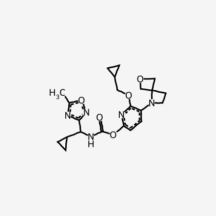 Cc1nc(C(NC(=O)Oc2ccc(N3CCC34COC4)c(OCC3CC3)n2)C2CC2)no1